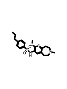 CCCc1ccc(S(=O)(=O)Nc2cc3c(nc2OC)CCN(C)CC3)cc1